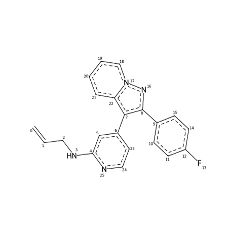 C=CCNc1cc(-c2c(-c3ccc(F)cc3)nn3ccccc23)ccn1